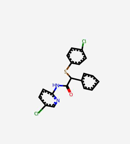 O=C(Nc1ccc(Cl)cn1)C(Sc1ccc(Cl)cc1)c1ccccc1